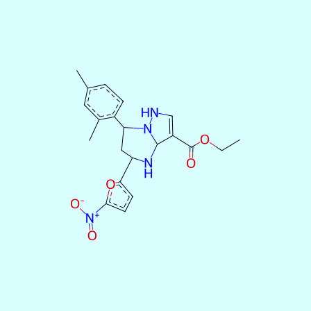 CCOC(=O)C1=CNN2C1NC(c1ccc([N+](=O)[O-])o1)CC2c1ccc(C)cc1C